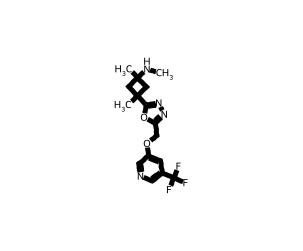 CNC1(C)CC(C)(c2nnc(COc3cncc(C(F)(F)F)c3)o2)C1